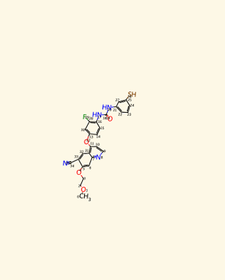 COCCOc1cc2nccc(Oc3ccc(NC(=O)Nc4cccc(S)c4)c(F)c3)c2cc1C#N